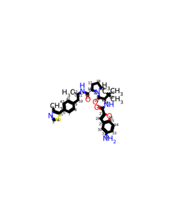 Cc1ncsc1-c1ccc(C[C@H](C)NC(=O)[C@@H]2CCCN2C(=O)[C@@H](NC(=O)c2cc3cc(N)ccc3o2)C(C)(C)C)cc1